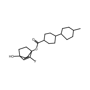 CC1CCC(C2CCC(C(=O)OC34CCC(O)(C=C3F)CC4)CC2)CC1